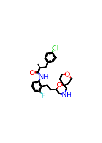 C[C@@H](Cc1ccc(Cl)cc1)C(=O)Nc1cccc(F)c1CC[C@@H]1CNCC2(CCOCC2)O1